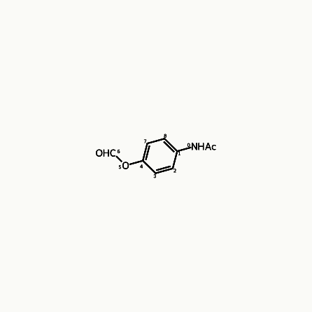 CC(=O)Nc1ccc(OC=O)cc1